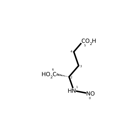 O=NN[C@@H](CCC(=O)O)C(=O)O